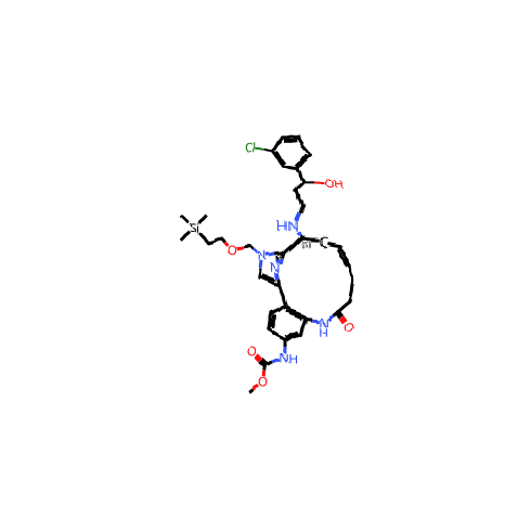 COC(=O)Nc1ccc2c(c1)NC(=O)CCC=CC[C@H](NCCC(O)c1cccc(Cl)c1)c1nc-2cn1COCC[Si](C)(C)C